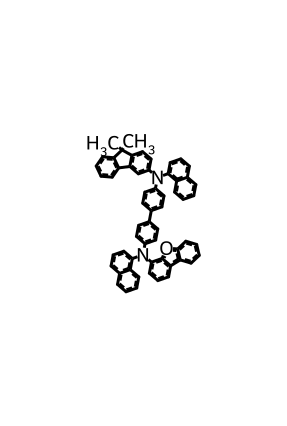 CC1(C)c2ccccc2-c2cc(N(c3ccc(-c4ccc(N(c5cccc6ccccc56)c5cccc6c5oc5ccccc56)cc4)cc3)c3cccc4ccccc34)ccc21